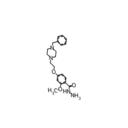 COc1cc(OCCN2CCN(Cc3ccccc3)CC2)ccc1C(=O)NN